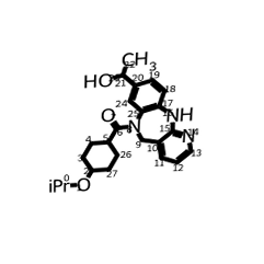 CC(C)OC1CCC(C(=O)N2Cc3cccnc3Nc3ccc(C(C)O)cc32)CC1